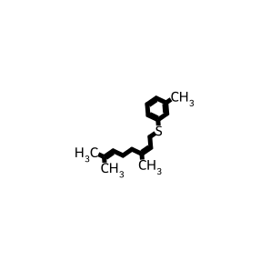 CC(C)=CCCC(C)=CCSc1cccc(C)c1